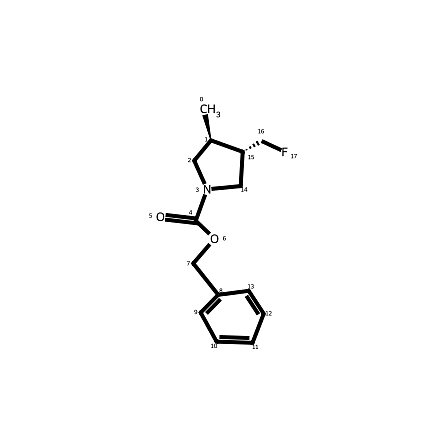 C[C@@H]1CN(C(=O)OCc2ccccc2)C[C@H]1CF